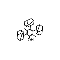 Cc1c(O)c(C23CC4CC(CC(C4)C2)C3)c(C)c(C23CC4CC(CC(C4)C2)C3)c1C12CC3CC(CC(C3)C1)C2